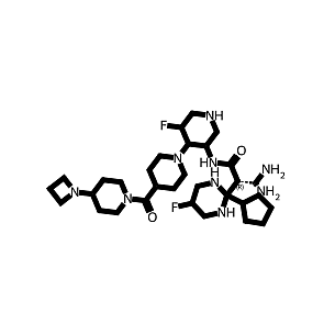 NC(N)[C@@H](C(=O)NC1CNCC(F)C1N1CCC(C(=O)N2CCC(N3CCC3)CC2)CC1)C1(C2CCCC2)NCC(F)CN1